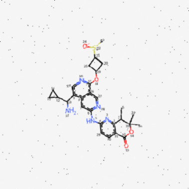 CC1c2nc(Nc3cc4c(C(N)C5CC5)cnc(OC5CC([S+](C)[O-])C5)c4cn3)ccc2C(=O)OC1(C)C